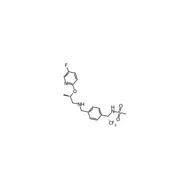 C[C@H](CNCc1ccc([C@H](NS(C)(=O)=O)C(F)(F)F)cc1)Oc1ccc(F)cn1